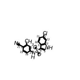 Cc1cc(NS(=O)(=O)c2c[nH]c3cc(Cl)ccc23)ccc1C#N